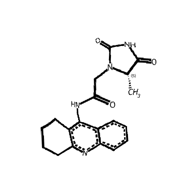 C[C@H]1C(=O)NC(=O)N1CC(=O)Nc1c2c(nc3ccccc13)CCCC2